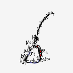 CCCOCCOCCOCCOCCOCCOCCNC(=O)O[C@@H]1CC[C@@H](C[C@@H](N)[C@@H]2C[C@@H](O)[C@H](C)/C=C(\C)[C@@H](O)[C@@H](O)C(=O)[C@H](C)C[C@H](C)/C=C/C=C/C=C(\C)[C@@H](OC)C[C@@H]3CC[C@@H](C)[C@@](O)(O3)C(=O)C(=O)N3CCCC[C@H]3C(=O)O2)C[C@H]1OC